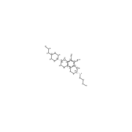 CCCCC[C@@H]1CCc2c3c(c(F)c(F)c2O1)O[C@@H](C1CCC(CCC)CC1)CC3